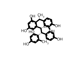 Cc1cc(O)cc(O)c1[C@@H](c1ccc(O)cc1)[C@@H](C)c1cc(O)cc(O)c1[C@H](C)c1ccc(O)c(O)c1